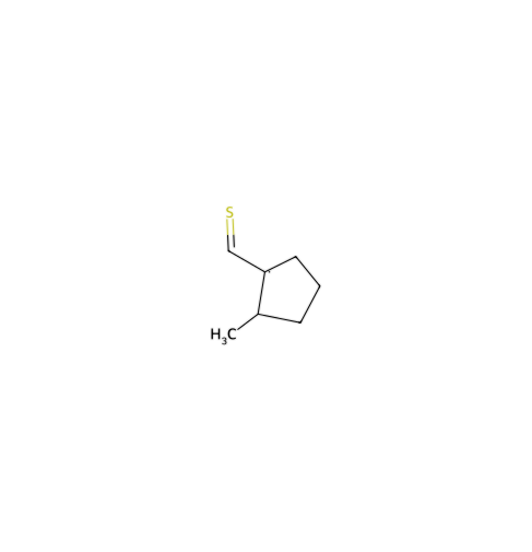 CC1CCC[C]1C=S